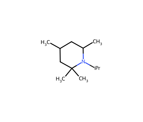 CC1CC(C)N(C(C)C)C(C)(C)C1